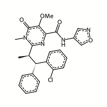 COc1c(C(=O)Nc2cnoc2)nc([C@H](C)[C@@H](c2ccccc2)c2ccccc2Cl)n(C)c1=O